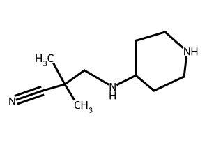 CC(C)(C#N)CNC1CCNCC1